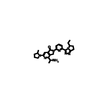 CCC1CCc2nnc(-c3cccc(N4Cc5c(cc(N6CCCC6C)nc5C(C)N)C4=O)n3)n21